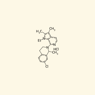 CCn1c(C)c(C)c2ccnc(N3CCc4ccc(Cl)cc4C3C)c21.Cl